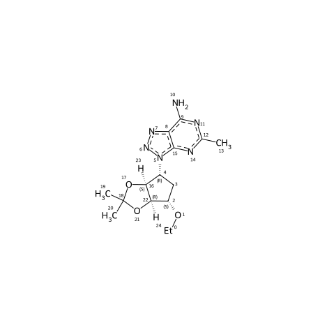 CCO[C@H]1C[C@@H](n2nnc3c(N)nc(C)nc32)[C@@H]2OC(C)(C)O[C@@H]21